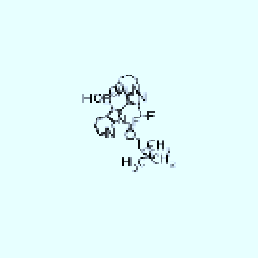 C[Si](C)(C)CCOCn1c(-c2c(C(F)F)nn3c2OCCC3)c(B(O)O)c2cccnc21